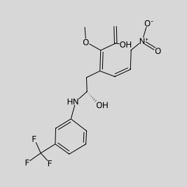 C=C(O)/C(OC)=C(\C=C/C[N+](=O)[O-])C[C@H](O)Nc1cccc(C(F)(F)F)c1